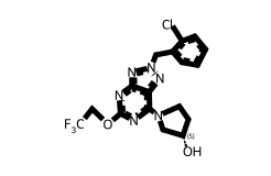 O[C@H]1CCN(c2nc(OCC(F)(F)F)nc3nn(Cc4ccccc4Cl)nc23)C1